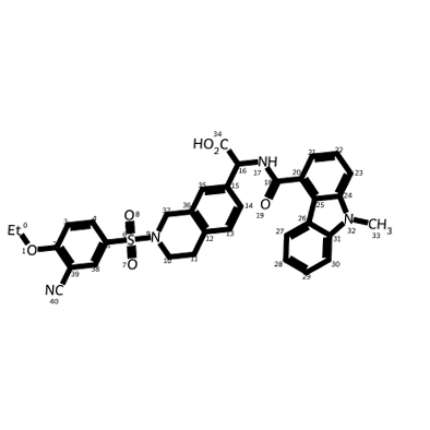 CCOc1ccc(S(=O)(=O)N2CCc3ccc(C(NC(=O)c4cccc5c4c4ccccc4n5C)C(=O)O)cc3C2)cc1C#N